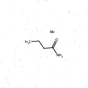 CCCC(N)=O.[Nb]